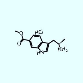 COC(=O)c1ccc2c(C[C@@H](C)N)c[nH]c2c1.Cl